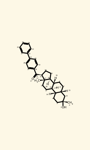 C[C@@]1(O)CC[C@H]2[C@H](CC[C@@H]3[C@@H]2CC[C@]2(C)[C@@H](C(=O)c4ccc(-c5ccccc5)cc4)CC[C@@H]32)C1